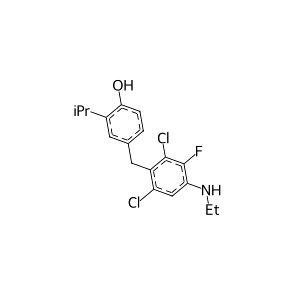 CCNc1cc(Cl)c(Cc2ccc(O)c(C(C)C)c2)c(Cl)c1F